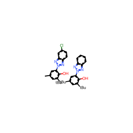 CC(C)(C)c1cc(-n2nc3ccccc3n2)c(O)c(C(C)(C)C)c1.Cc1cc(-n2nc3ccc(Cl)cc3n2)c(O)c(C(C)(C)C)c1